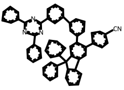 N#Cc1ccc(-c2cc3c(cc2-c2cccc(-c4cccc(-c5nc(-c6ccccc6)nc(-c6ccccc6)n5)c4)c2)C(c2ccccc2)(c2ccccc2)c2ccccc2-3)cc1